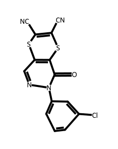 N#CC1=C(C#N)Sc2c(cnn(-c3cccc(Cl)c3)c2=O)S1